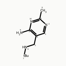 Cc1ncc(CNC(C)(C)C)c(N)n1